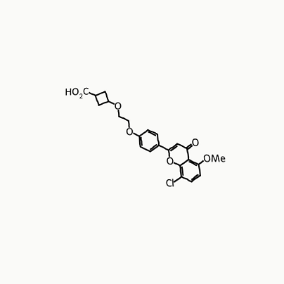 COc1ccc(Cl)c2oc(-c3ccc(OCCOC4CC(C(=O)O)C4)cc3)cc(=O)c12